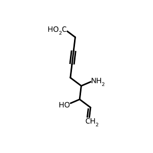 C=CC(O)C(N)CC#CCC(=O)O